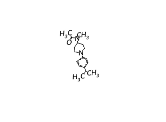 CC(=O)N(C)C1CCN(c2ccc(C(C)C)cc2)CC1